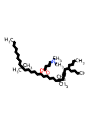 CCCCCCCCCC(C)(C)CCCCCC(CCCCCC(C)(C)CC#CCC(CCCC)CCCC)OC(=O)CCCN(C)C